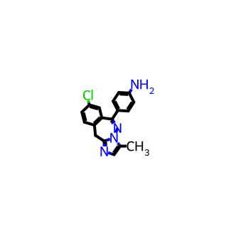 Cc1cnc2n1N=C(c1ccc(N)cc1)c1cc(Cl)ccc1C2